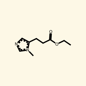 CCOC(=O)CCc1cncn1C